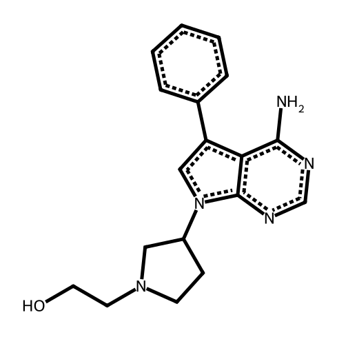 Nc1ncnc2c1c(-c1ccccc1)cn2C1CCN(CCO)C1